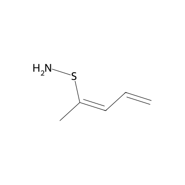 C=C/C=C(/C)SN